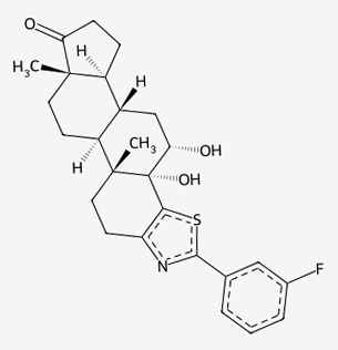 C[C@]12CC[C@H]3[C@@H](C[C@H](O)[C@@]4(O)c5sc(-c6cccc(F)c6)nc5CC[C@]34C)[C@@H]1CCC2=O